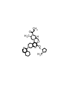 C=CC(=O)N1C[C@@H]2COc3c(OC[C@@H]4CCCN4C)nc4c(c3N2C[C@H]1C)CCN(c1nccc2c1CCCC2)C4